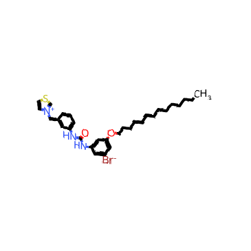 CCCCCCCCCCCCCCOc1cccc(NC(=O)Nc2cccc(C[n+]3ccsc3)c2)c1.[Br-]